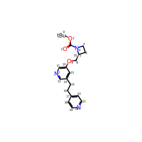 CC(C)(C)OC(=O)N1CC[C@H]1COc1cncc(CCc2ccncc2)c1